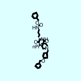 CCCN1C(=O)[C@H](CCCCNC(=O)OCc2ccccc2)NC(=O)C12CCN(Cc1ccc(OCc3ccccc3)cc1)CC2